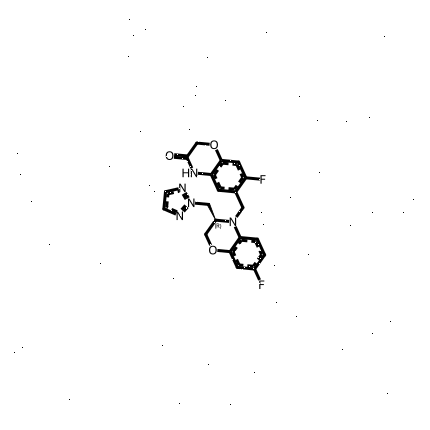 O=C1COc2cc(F)c(CN3c4ccc(F)cc4OC[C@H]3Cn3nccn3)cc2N1